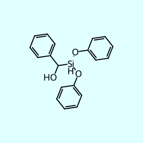 OC(c1ccccc1)[SiH](Oc1ccccc1)Oc1ccccc1